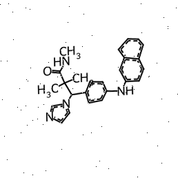 CNC(=O)C(C)(C)C(c1ccc(Nc2ccc3ccccc3c2)cc1)n1ccnc1